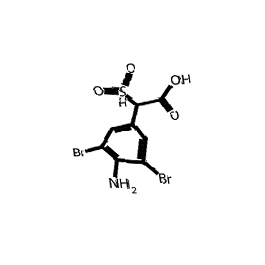 Nc1c(Br)cc(C(C(=O)O)[SH](=O)=O)cc1Br